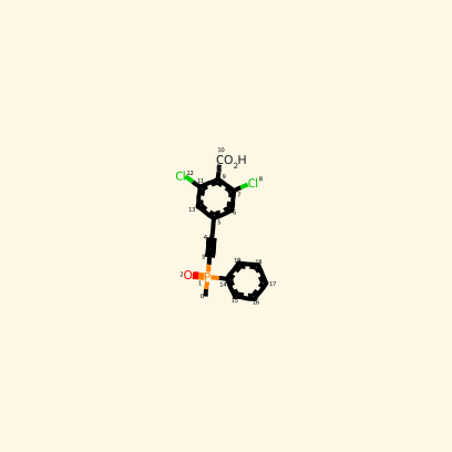 CP(=O)(C#Cc1cc(Cl)c(C(=O)O)c(Cl)c1)c1ccccc1